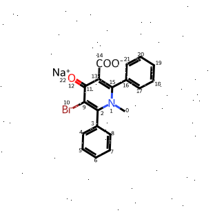 Cn1c(-c2ccccc2)c(Br)c(=O)c(C(=O)[O-])c1-c1ccccc1.[Na+]